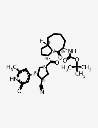 Cc1cc([C@@H]2CN(C(=O)[C@@H]3CC[C@@H]4CCCC[C@H](NC(=O)OC(C)(C)C)C(=O)N43)C[C@H]2C#N)cc(=O)[nH]1